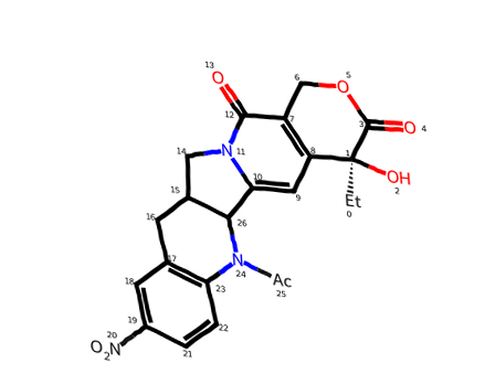 CC[C@@]1(O)C(=O)OCc2c1cc1n(c2=O)CC2Cc3cc([N+](=O)[O-])ccc3N(C(C)=O)C12